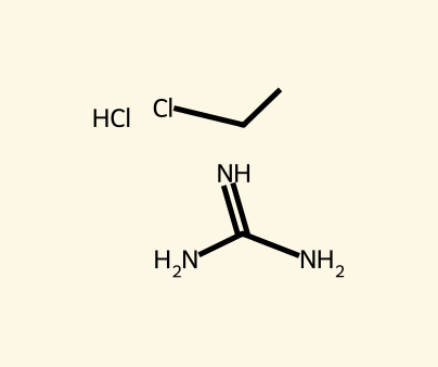 CCCl.Cl.N=C(N)N